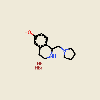 Br.Br.Oc1ccc2c(c1)CCNC2CN1CCCC1